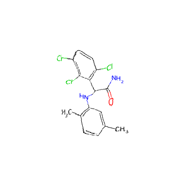 Cc1ccc(C)c(NC(C(N)=O)c2c(Cl)ccc(Cl)c2Cl)c1